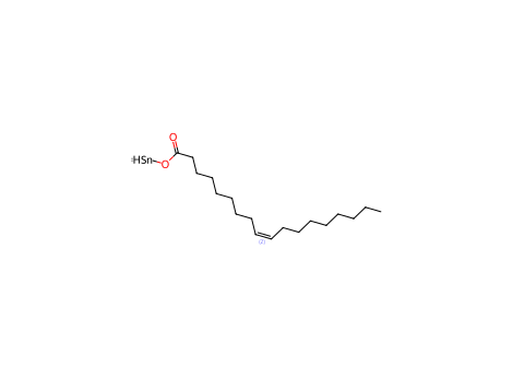 CCCCCCCC/C=C\CCCCCCCC(=O)[O][SnH]